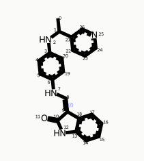 CC(Nc1ccc(N/C=C2\C(=O)Nc3ccccc32)cc1)c1cccnc1